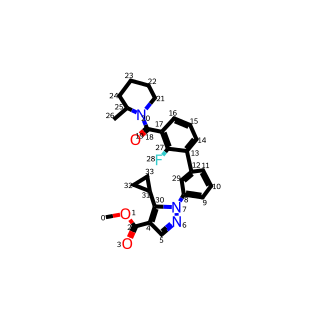 COC(=O)c1cnn(-c2cccc(-c3cccc(C(=O)N4CCCCC4C)c3F)c2)c1C1CC1